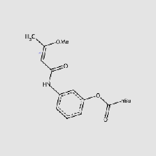 CCCCC(=O)Oc1cccc(NC(=O)/C=C(/C)OC)c1